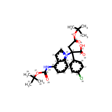 CC(C)(C)OC(=O)CC(C(=O)O)(c1ccc(Cl)cc1)n1ccc2c(NC(=O)OC(C)(C)C)cccc21